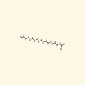 C=C[CH]CCCCCCCCCCCCCCCC(C)C